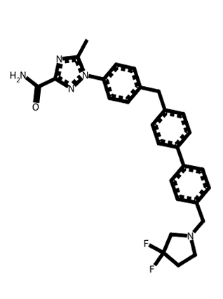 Cc1nc(C(N)=O)nn1-c1ccc(Cc2ccc(-c3ccc(CN4CCC(F)(F)C4)cc3)cc2)cc1